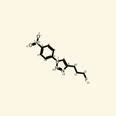 O=[N+]([O-])c1ccc(-n2cc(CCCF)nn2)cc1